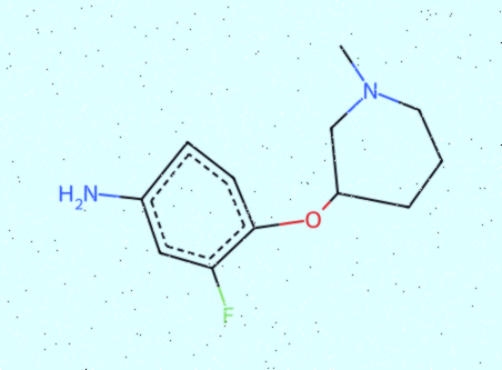 CN1CCCC(Oc2ccc(N)cc2F)C1